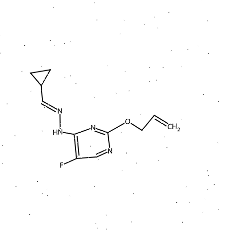 C=CCOc1ncc(F)c(N/N=C/C2CC2)n1